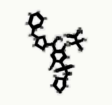 CN(c1cc(F)c(S(=O)(=O)Nc2cscn2)cc1F)C1CCN(Cc2ccccc2)C1.O=C(O)C(F)(F)F